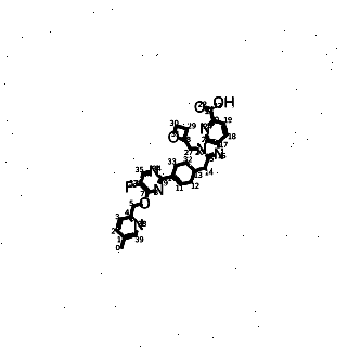 Cc1ccc(COc2nc(C3=CCC(Cc4nc5ccc(C(=O)O)nc5n4CC4CCO4)CC3)ncc2F)nc1